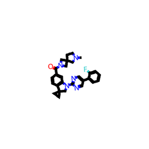 CN1CCC2(C1)CN(C(=O)c1ccc3c(c1)N(c1ncc(-c4ccccc4F)cn1)CC31CC1)C2